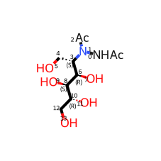 CC(=O)NN(C(C)=O)[C@@H](CO)[C@@H](O)[C@H](O)[C@H](O)CO